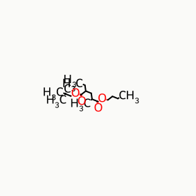 CCCCOC(=O)C(C)CC(CC)C(=O)OCC(C)(C)C